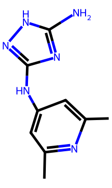 Cc1cc(Nc2n[nH]c(N)n2)cc(C)n1